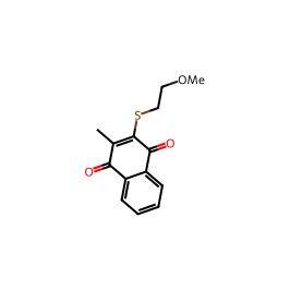 COCCSC1=C(C)C(=O)c2ccccc2C1=O